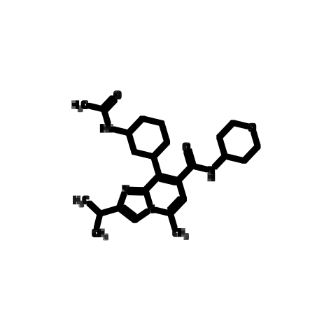 CC(=O)NC1CCCC(c2c(C(=O)NC3CCOCC3)cc(C)n3cc(C(C)C)nc23)C1